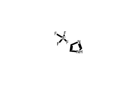 F[B-](F)(F)F.c1c[nH]cn1